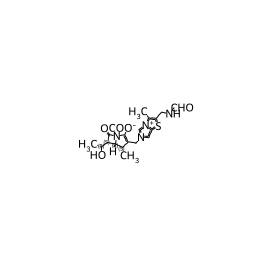 Cc1c(CNC=O)sc2cn(CC3=C(C(=O)[O-])N4C(=O)[C@H]([C@@H](C)O)[C@H]4[C@H]3C)c[n+]12